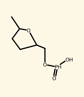 CC1CCC(CO[PH](=O)O)O1